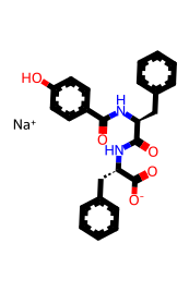 O=C(N[C@@H](Cc1ccccc1)C(=O)N[C@@H](Cc1ccccc1)C(=O)[O-])c1ccc(O)cc1.[Na+]